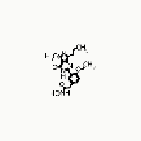 CCCc1nn(C)c2c(=O)[nH]c(-c3cc(CC(=O)NO)ccc3OCC)nc12